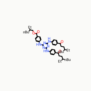 CCCCC(CC)CCC(=O)c1ccc(Nc2nc(Nc3ccc(C(=O)CCC(CC)CCCC)cc3)nc(Nc3ccc(C(=O)OCC(CC)CCCC)cc3)n2)cc1